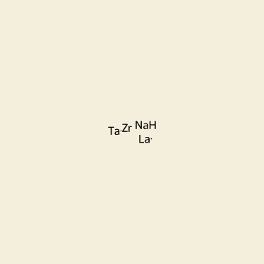 [La].[NaH].[Ta].[Zr]